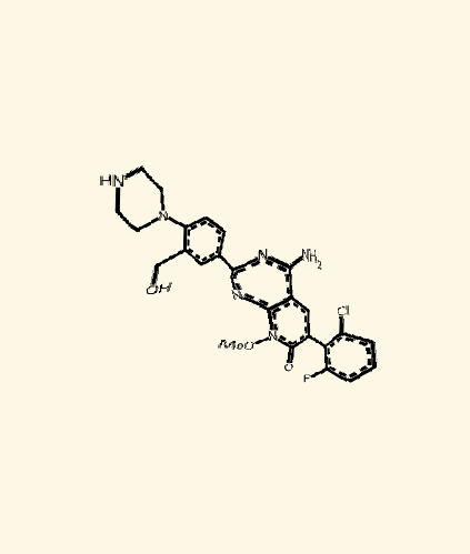 COn1c(=O)c(-c2c(F)cccc2Cl)cc2c(N)nc(-c3ccc(N4CCNCC4)c(CO)c3)nc21